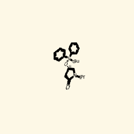 CC(C)N1C[C@@H](O[Si](c2ccccc2)(c2ccccc2)C(C)(C)C)CC1=O